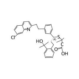 CC(C)(CC(=O)O)S[C@H](CCc1ccccc1C(C)(C)O)c1cccc(CCc2ccc3ccc(Cl)cc3n2)c1